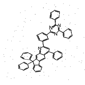 c1ccc(-c2nc(-c3ccccc3)nc(-c3cccc(-c4cc(-c5ccccc5)c5cc6c(cc5n4)C(c4ccccc4)(c4ccccc4)c4ccccc4-6)c3)n2)cc1